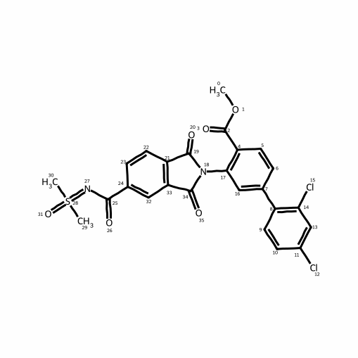 COC(=O)c1ccc(-c2ccc(Cl)cc2Cl)cc1N1C(=O)c2ccc(C(=O)N=S(C)(C)=O)cc2C1=O